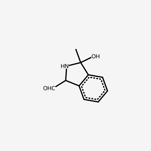 CC1(O)NC(C=O)c2ccccc21